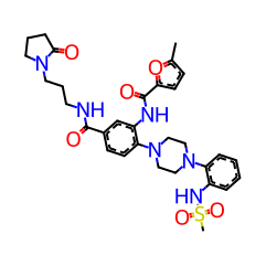 Cc1ccc(C(=O)Nc2cc(C(=O)NCCCN3CCCC3=O)ccc2N2CCN(c3ccccc3NS(C)(=O)=O)CC2)o1